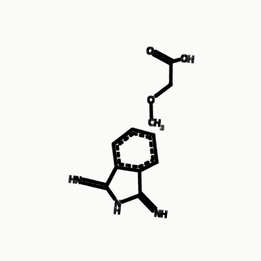 COCC(=O)O.N=C1NC(=N)c2ccccc21